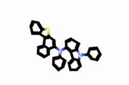 C1=c2c(n(-c3ccccc3)c3cccc(N(c4ccccc4)c4cc5sc6ccccc6c5c5ccccc45)c23)=CCC1